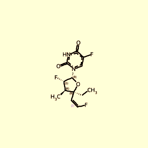 CC[C@@]1(/C=C\F)O[C@@H](n2cc(F)c(=O)[nH]c2=O)[C@@H](F)[C@@H]1C